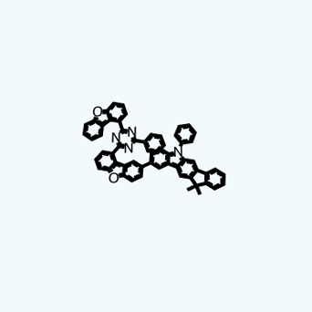 CC1(C)c2ccccc2-c2cc3c(cc21)c1cc(-c2ccc4oc5cccc(-c6nc(-c7ccccc7)nc(-c7cccc8oc9ccccc9c78)n6)c5c4c2)ccc1n3-c1ccccc1